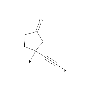 O=C1CCC(F)(C#CF)C1